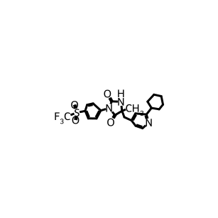 CC1(Cc2ccnc(C3CCCCC3)c2)NC(=O)N(c2ccc(S(=O)(=O)C(F)(F)F)cc2)C1=O